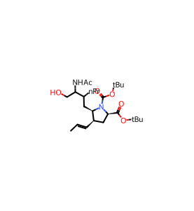 CC=C[C@@H]1C[C@H](C(=O)OC(C)(C)C)N(C(=O)OC(C)(C)C)[C@@H]1CC(CCC)C(CO)NC(C)=O